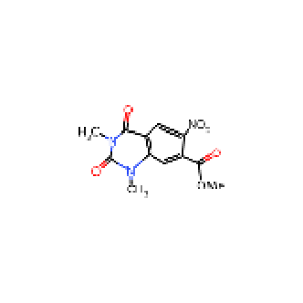 COC(=O)c1cc2c(cc1[N+](=O)[O-])c(=O)n(C)c(=O)n2C